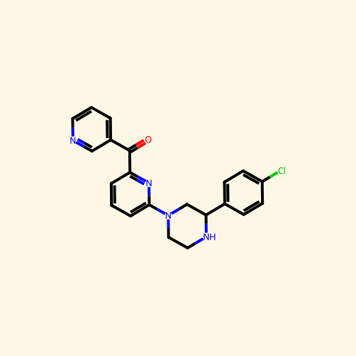 O=C(c1cccnc1)c1cccc(N2CCNC(c3ccc(Cl)cc3)C2)n1